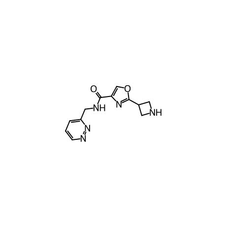 O=C(NCc1cccnn1)c1coc(C2CNC2)n1